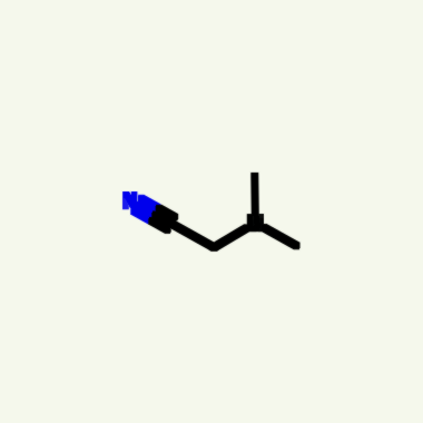 [CH3][Bi]([CH3])[CH2]C#N